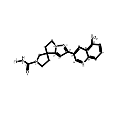 CCNC(=O)N1CCC2(CCn3nc(-c4cnc5cccc([N+](=O)[O-])c5c4)cc32)C1